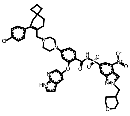 O=C(NS(=O)(=O)c1cc([N+](=O)[O-])c2cn(CC3CCOCC3)nc2c1)c1ccc(N2CCN(CC3=C(c4ccc(Cl)cc4)CC4(CCC4)CC3)CC2)cc1Oc1cnc2[nH]ccc2c1